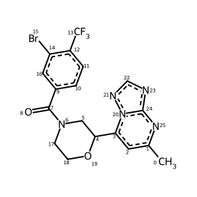 Cc1cc(C2CN(C(=O)c3ccc(C(F)(F)F)c(Br)c3)CCO2)n2ncnc2n1